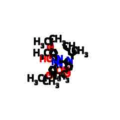 CCCCC(CC)Cn1cc(-c2nc(-c3ccc(OCC(C)C)c(C)c3O)nc(-c3ccc(OCC(C)C)c(C)c3O)n2)c2cc(OC)ccc21